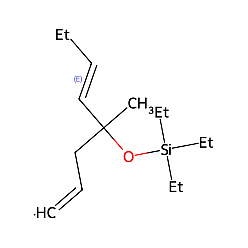 [CH]=CCC(C)(/C=C/CC)O[Si](CC)(CC)CC